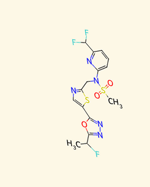 CC(F)c1nnc(-c2cnc(CN(c3cccc(C(F)F)n3)S(C)(=O)=O)s2)o1